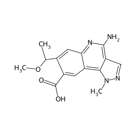 COC(C)c1cc2nc(N)c3cnn(C)c3c2cc1C(=O)O